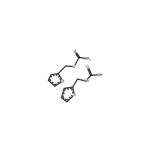 NC(=O)OCc1ccco1.O=C(O)NCc1ccco1